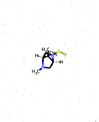 CN1C[C@@H]2N(SF)C[C@H]1C2(C)C